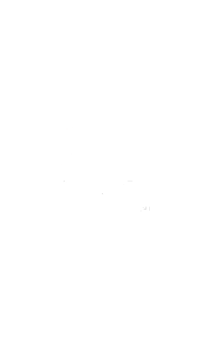 CCC(C)CC(C)(CC)C1CC(=O)OC1=O